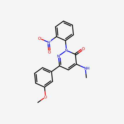 CNc1cc(-c2cccc(OC)c2)nn(-c2ccccc2[N+](=O)[O-])c1=O